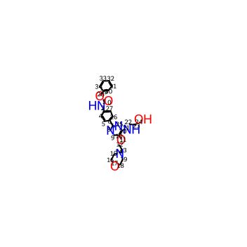 O=C(Nc1ccc(-c2ncc(OCCN3CCOCC3)c(NCCO)n2)cc1)Oc1ccccc1